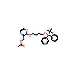 CC(=O)OCc1nccnc1OCCCCO[Si](c1ccccc1)(c1ccccc1)C(C)(C)C